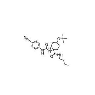 CCCCNC(=O)C1(NC(=O)Nc2ccc(C#N)cc2)CCC(OC(C)(C)C)CC1